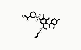 C=CCONC(=O)c1cc(S(=O)(=O)N2CCCC(C(N)=O)C2)c(F)c(F)c1Nc1ccc(I)cc1Cl